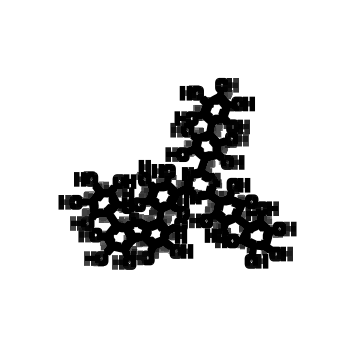 Oc1c(O)c(O)c(-c2c(O)c(O)c(-c3nc(-c4c(O)c(O)c(-c5c(O)c(O)c(O)c(O)c5O)c(O)c4O)nc(-c4c(O)c(O)c(O)c(-c5c(O)c(O)c(O)c6c5sc5c(-c7c(O)c(O)c(O)c(O)c7O)c(O)c(O)c(O)c56)c4O)n3)c(O)c2O)c(O)c1O